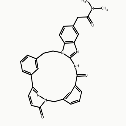 CN(C)C(=O)Cc1ccc2c(c1)nc1n2CCc2cccc(c2)-c2ccc(=O)n(n2)Cc2cccc(c2)C(=O)N1